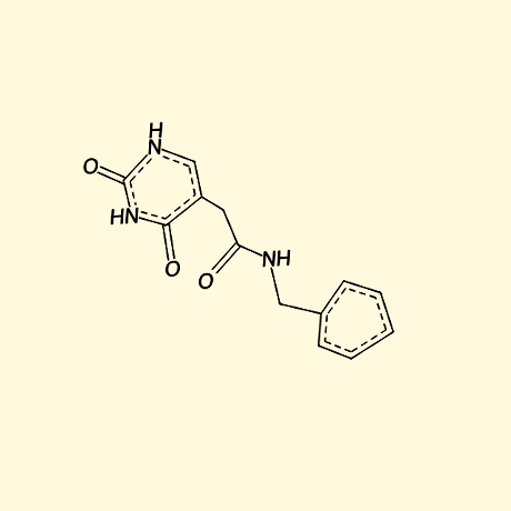 O=C(Cc1c[nH]c(=O)[nH]c1=O)NCc1ccccc1